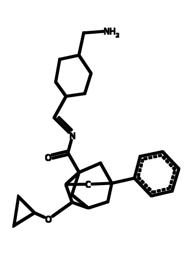 NCC1CCC(/C=N/C(=O)C23CC4CC(c5ccccc5)(CC2C4OC2CC2)C3)CC1